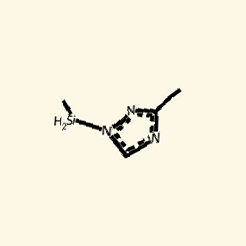 C[SiH2]n1cnc(C)n1